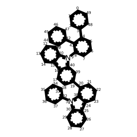 c1ccc(-c2cccc(-n3c4ccccc4c4ccc(-c5cccc6c7ccccc7n(-c7ccccc7)c56)cc43)c2-c2ccccc2)cc1